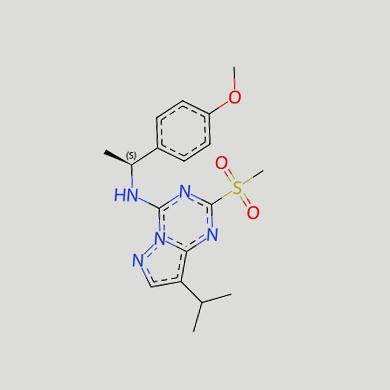 COc1ccc([C@H](C)Nc2nc(S(C)(=O)=O)nc3c(C(C)C)cnn23)cc1